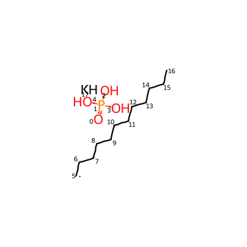 O=P(O)(O)O.[CH2]CCCCCCCCCCC.[KH]